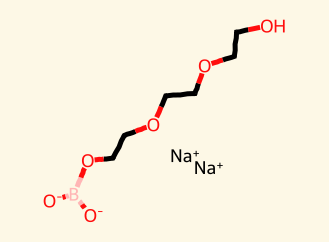 [Na+].[Na+].[O-]B([O-])OCCOCCOCCO